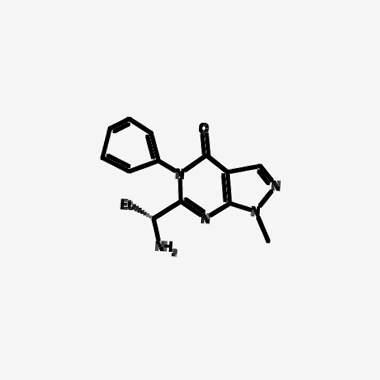 CC[C@@H](N)c1nc2c(cnn2C)c(=O)n1-c1ccccc1